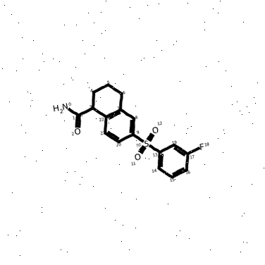 NC(=O)C1CCCc2cc(S(=O)(=O)c3cccc(F)c3)ccc21